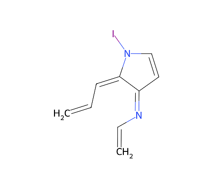 C=C/C=C1\C(=N/C=C)C=CN1I